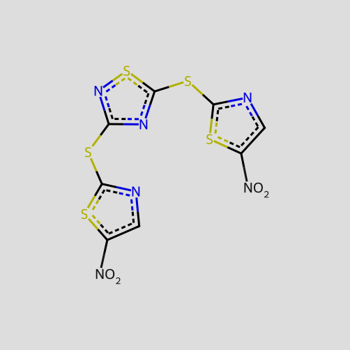 O=[N+]([O-])c1cnc(Sc2nsc(Sc3ncc([N+](=O)[O-])s3)n2)s1